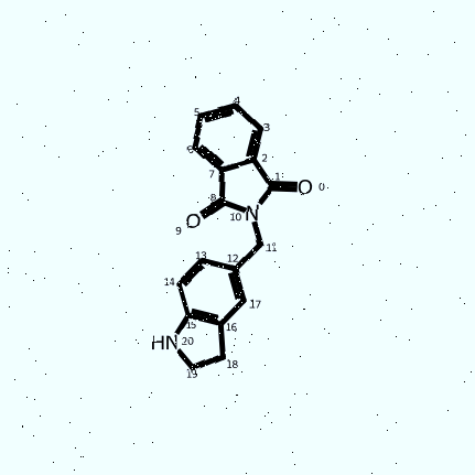 O=C1c2ccccc2C(=O)N1Cc1ccc2c(c1)CCN2